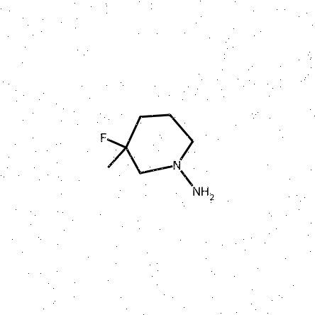 CC1(F)CCCN(N)C1